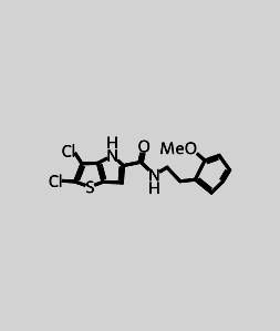 COc1ccccc1CCNC(=O)c1cc2sc(Cl)c(Cl)c2[nH]1